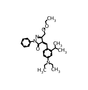 CCOOCC1=NN(c2ccccc2)C(=O)/C1=C\c1ccc(N(CC)CC)cc1C(C)C